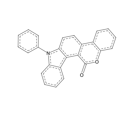 O=c1oc2ccccc2c2ccc3c(c4ccccc4n3-c3ccccc3)c12